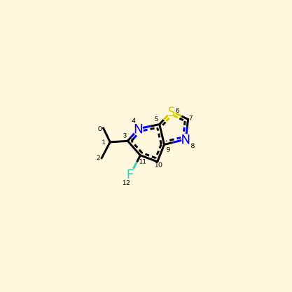 CC(C)c1nc2scnc2cc1F